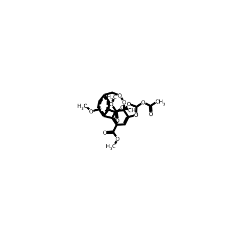 COC(=O)C1=C2c3c(OC)cc(cc3C(=O)OC)COOC3(OC(OC(C)=O)OC3=C1)C2OC